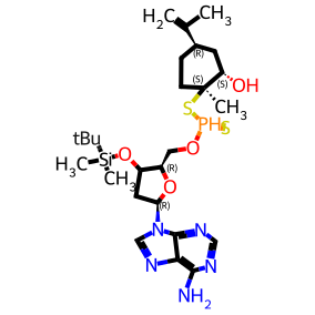 C=C(C)[C@@H]1CC[C@](C)(S[PH](=S)OC[C@H]2O[C@@H](n3cnc4c(N)ncnc43)CC2O[Si](C)(C)C(C)(C)C)[C@@H](O)C1